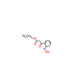 C=CCOC(=O)CC(=O)C1=CC=CCC1=NO